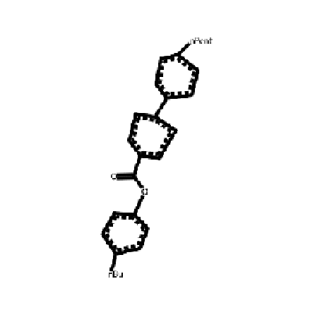 CCCCCc1ccc(-c2ccc(C(=O)Oc3ccc(CCCC)cc3)cc2)cc1